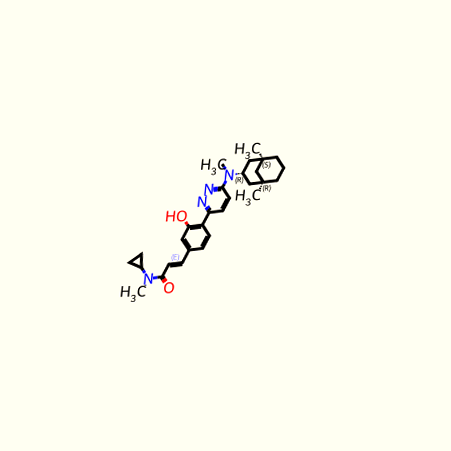 CN(C(=O)/C=C/c1ccc(-c2ccc(N(C)[C@H]3C[C@]4(C)CCC[C@](C)(C3)C4)nn2)c(O)c1)C1CC1